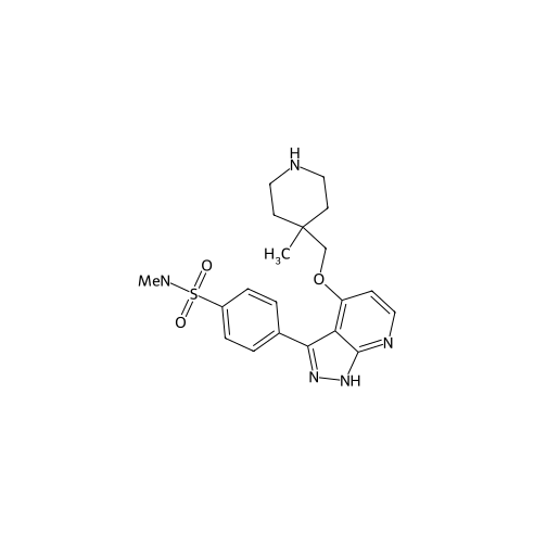 CNS(=O)(=O)c1ccc(-c2n[nH]c3nccc(OCC4(C)CCNCC4)c23)cc1